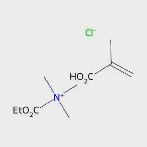 C=C(C)C(=O)O.CCOC(=O)[N+](C)(C)C.[Cl-]